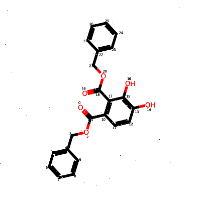 O=C(OCc1ccccc1)c1ccc(O)c(O)c1C(=O)OCc1ccccc1